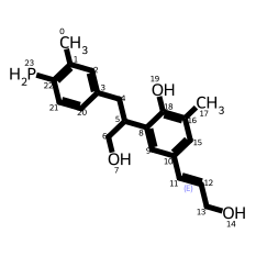 Cc1cc(CC(CO)c2cc(/C=C/CO)cc(C)c2O)ccc1P